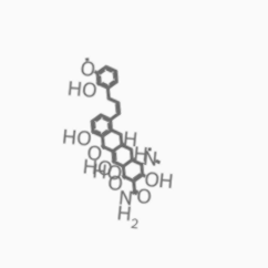 COc1cccc(C/C=C\c2ccc(O)c3c2C[C@H]2C[C@H]4[C@H](N(C)C)C(O)=C(C(N)=O)C(=O)[C@@]4(O)C(O)=C2C3=O)c1O